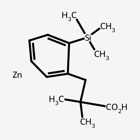 CC(C)(Cc1ccccc1[Si](C)(C)C)C(=O)O.[Zn]